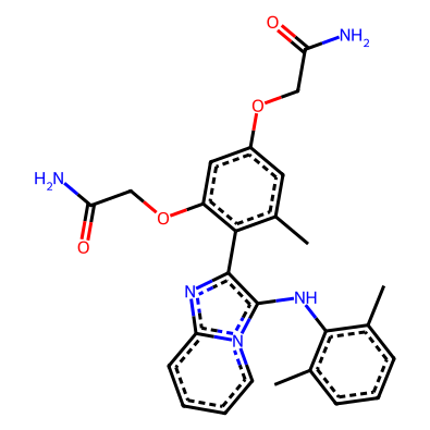 Cc1cccc(C)c1Nc1c(-c2c(C)cc(OCC(N)=O)cc2OCC(N)=O)nc2ccccn12